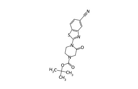 CC(C)(C)OC(=O)N1CCN(c2nc3cc(C#N)ccc3s2)C(=O)C1